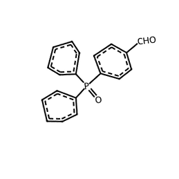 O=Cc1ccc(P(=O)(c2ccccc2)c2ccccc2)cc1